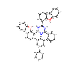 c1ccc(-c2cccc(-c3ccccc3-c3nc(-c4cccc5c4oc4ccccc45)nc(-c4cccc5c4oc4ccccc45)n3)c2)cc1